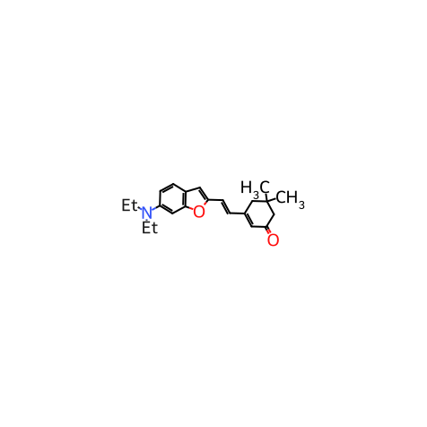 CCN(CC)c1ccc2cc(C=CC3=CC(=O)CC(C)(C)C3)oc2c1